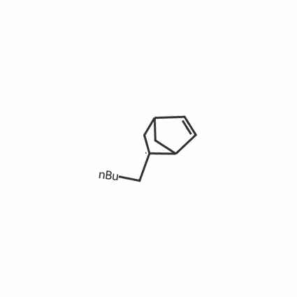 CCCCC[C]1CC2C=CC1C2